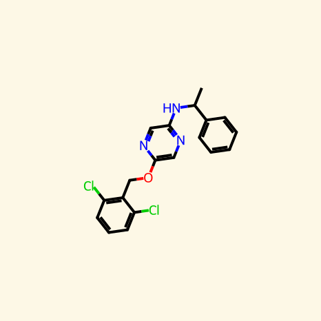 CC(Nc1cnc(OCc2c(Cl)cccc2Cl)cn1)c1ccccc1